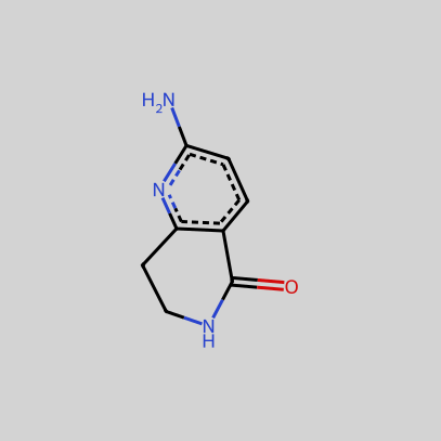 Nc1ccc2c(n1)CCNC2=O